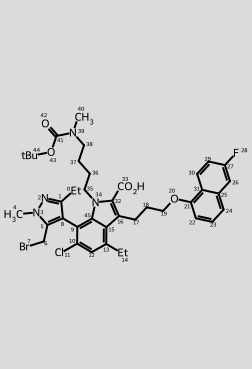 CCc1nn(C)c(CBr)c1-c1c(Cl)cc(CC)c2c(CCCOc3cccc4cc(F)ccc34)c(C(=O)O)n(CCCCN(C)C(=O)OC(C)(C)C)c12